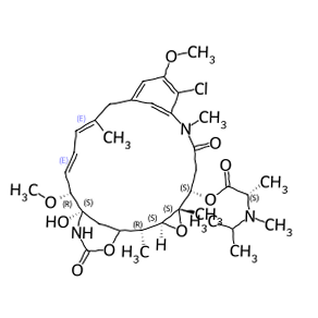 COc1cc2cc(c1Cl)N(C)C(=O)C[C@H](OC(=O)[C@H](C)N(C)C(C)C)[C@]1(C)O[C@H]1[C@H](C)C1C[C@@](O)(NC(=O)O1)[C@H](OC)/C=C/C=C(\C)C2